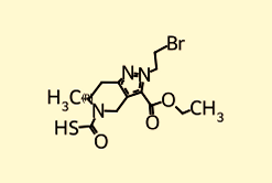 CCOC(=O)c1c2c(nn1CCBr)C[C@@H](C)N(C(=O)S)C2